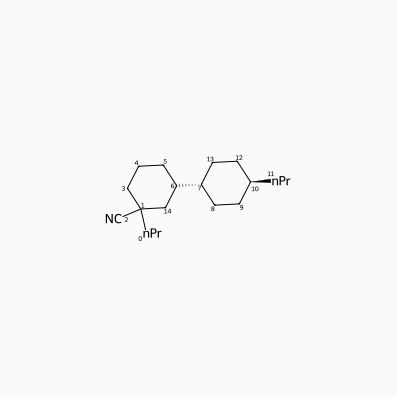 CCCC1(C#N)CCCC([C@H]2CC[C@H](CCC)CC2)C1